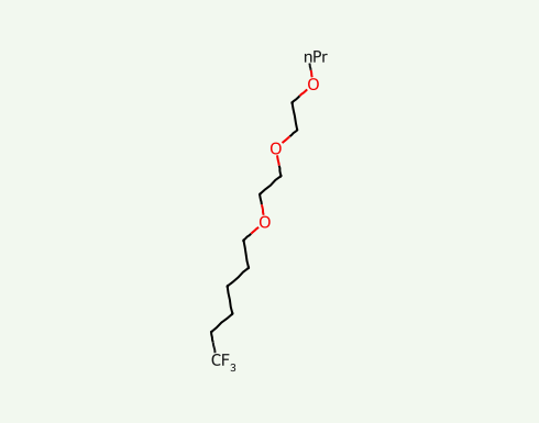 CCCOCCOCCOCCCCCC(F)(F)F